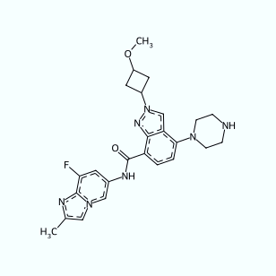 COC1CC(n2cc3c(N4CCNCC4)ccc(C(=O)Nc4cc(F)c5nc(C)cn5c4)c3n2)C1